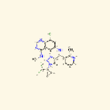 CNc1ncnc2c(Cl)cc(NC(c3cn(C4(C(F)F)CC4)nn3)c3cccnc3C)cc12